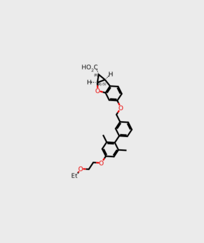 CCOCCOc1cc(C)c(-c2cccc(COc3ccc4c(c3)O[C@H]3[C@H](C(=O)O)[C@@H]43)c2)c(C)c1